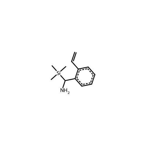 C=Cc1ccccc1C(N)[Si](C)(C)C